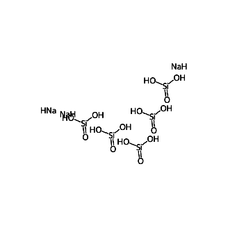 O=[Si](O)O.O=[Si](O)O.O=[Si](O)O.O=[Si](O)O.O=[Si](O)O.[NaH].[NaH].[NaH]